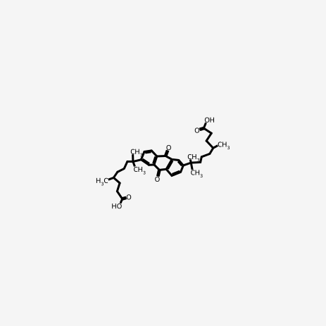 CC(CCCC(C)(C)c1ccc2c(c1)C(=O)c1ccc(C(C)(C)CCCC(C)CCC(=O)O)cc1C2=O)CCC(=O)O